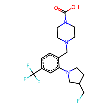 O=C(O)N1CCN(Cc2ccc(C(F)(F)F)cc2N2CCC(CF)C2)CC1